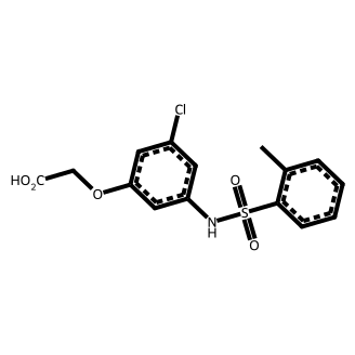 Cc1ccccc1S(=O)(=O)Nc1cc(Cl)cc(OCC(=O)O)c1